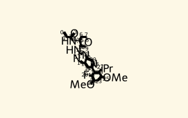 C=CC(=O)N[C@H]1CCOC[C@H]1Nc1ncc2cc(-c3c(F)c(OC)cc(OC)c3C(C)C)ncc2n1